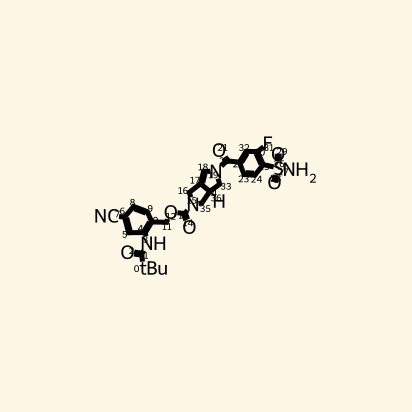 CC(C)(C)C(=O)Nc1cc(C#N)ccc1COC(=O)N1CC2=CN(C(=O)c3ccc(S(N)(=O)=O)c(F)c3)C[C@H]2C1